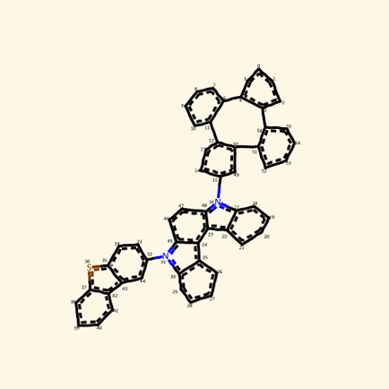 c1ccc2c(c1)-c1ccccc1-c1ccc(-n3c4ccccc4c4c5c6ccccc6n(-c6ccc7sc8ccccc8c7c6)c5ccc43)cc1-c1ccccc1-2